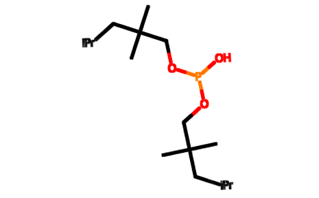 CC(C)CC(C)(C)COP(O)OCC(C)(C)CC(C)C